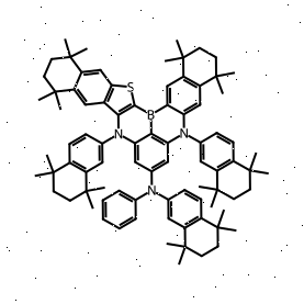 CC1(C)CCC(C)(C)c2cc(N(c3ccccc3)c3cc4c5c(c3)N(c3ccc6c(c3)C(C)(C)CCC6(C)C)c3c(sc6cc7c(cc36)C(C)(C)CCC7(C)C)B5c3cc5c(cc3N4c3ccc4c(c3)C(C)(C)CCC4(C)C)C(C)(C)CCC5(C)C)ccc21